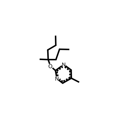 CCCC(C)(CCC)Oc1ncc(C)cn1